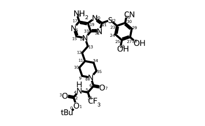 CC(C)(C)OC(=O)NC(C(=O)N1CCC(CCn2cnc(N)c3nc(Sc4cc(O)c(O)cc4C#N)nc2-3)CC1)C(F)(F)F